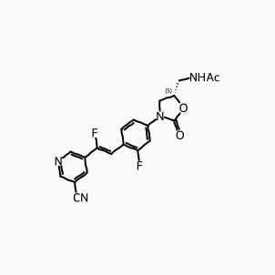 CC(=O)NC[C@H]1CN(c2ccc(C=C(F)c3cncc(C#N)c3)c(F)c2)C(=O)O1